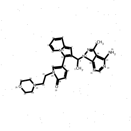 Cc1nn(C(C)c2cc3ccccn3c2-c2ccc(=O)n(CCN3CCOCC3)c2)c2ncnc(N)c12